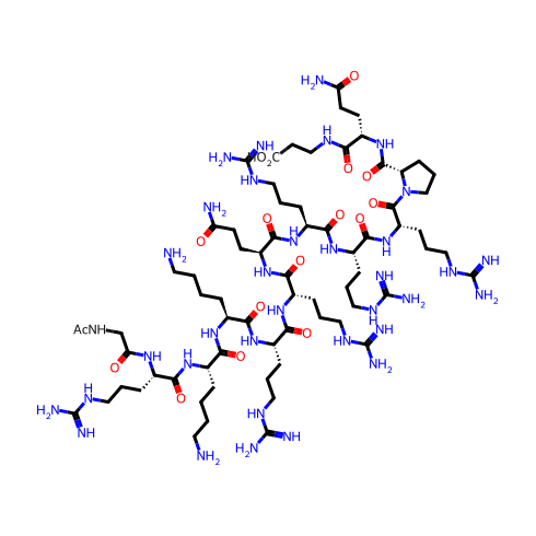 CC(=O)NCC(=O)N[C@@H](CCCNC(=N)N)C(=O)N[C@@H](CCCCN)C(=O)N[C@@H](CCCCN)C(=O)N[C@@H](CCCNC(=N)N)C(=O)N[C@@H](CCCNC(=N)N)C(=O)N[C@@H](CCC(N)=O)C(=O)N[C@@H](CCCNC(=N)N)C(=O)N[C@@H](CCCNC(=N)N)C(=O)N[C@@H](CCCNC(=N)N)C(=O)N1CCC[C@H]1C(=O)N[C@@H](CCC(N)=O)C(=O)NCCC(=O)O